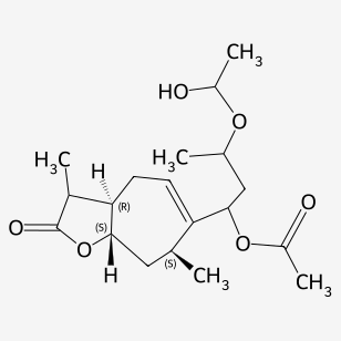 CC(=O)OC(CC(C)OC(C)O)C1=CC[C@@H]2C(C)C(=O)O[C@H]2C[C@@H]1C